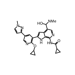 CNC(O)c1cnc(NC(=O)C2CC2)c2[nH]c(-c3cc(-c4ccn(C)n4)cnc3OC3CC3)cc12